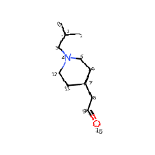 C[C](C)CN1CCC(CC=O)CC1